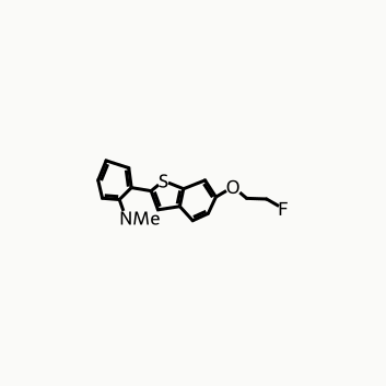 CNc1ccccc1-c1cc2ccc(OCCF)cc2s1